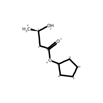 C[C@@H](O)CC(=O)OC1CCCC1